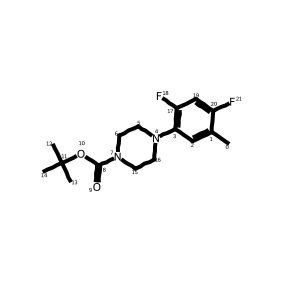 Cc1cc(N2CCN(C(=O)OC(C)(C)C)CC2)c(F)cc1F